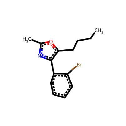 CCCCc1oc(C)nc1-c1ccccc1Br